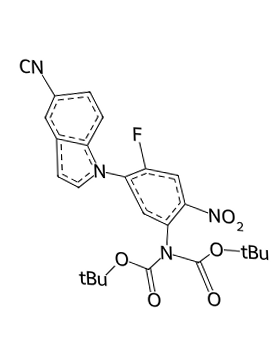 [C-]#[N+]c1ccc2c(ccn2-c2cc(N(C(=O)OC(C)(C)C)C(=O)OC(C)(C)C)c([N+](=O)[O-])cc2F)c1